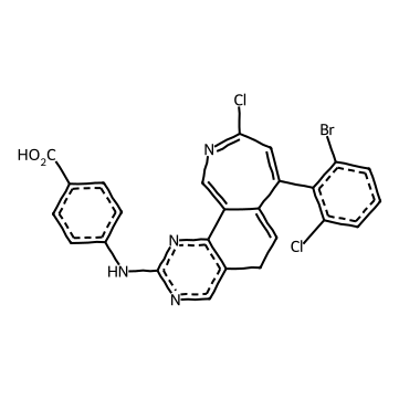 O=C(O)c1ccc(Nc2ncc3c(n2)C2=CN=C(Cl)C=C(c4c(Cl)cccc4Br)C2=CC3)cc1